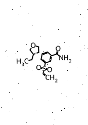 C=CS(=O)(=O)c1cccc(C(N)=O)c1.CCC1CCOC1